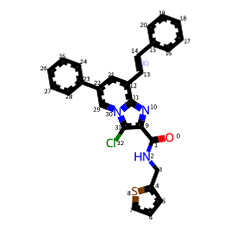 O=C(NCc1cccs1)c1nc2c(/C=C/c3ccccc3)cc(-c3ccccc3)cn2c1Cl